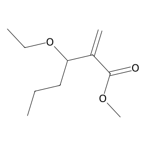 C=C(C(=O)OC)C(CCC)OCC